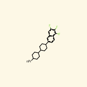 CCCC1CCC(C2CCC(c3ccc4c(F)c(F)c(F)cc4c3)CC2)CC1